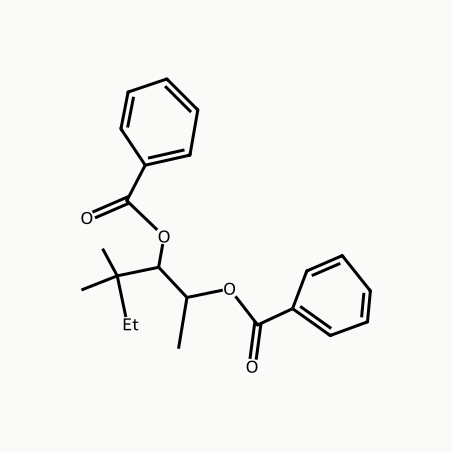 CCC(C)(C)C(OC(=O)c1ccccc1)C(C)OC(=O)c1ccccc1